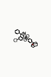 O=C(c1ccccc1)c1cc(Cl)ccc1NS(=O)(=O)c1ccc(C23CC4CC(CC(C4)C2)C3)cc1